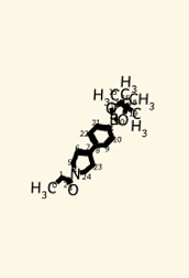 CCC(=O)N1CC=C(c2ccc(B3OC(C)(C)C(C)(C)O3)cc2)CC1